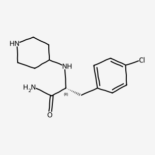 NC(=O)[C@@H](Cc1ccc(Cl)cc1)NC1CCNCC1